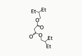 CCC(CC)COC(=O)CC(=O)OCC(CC)CC